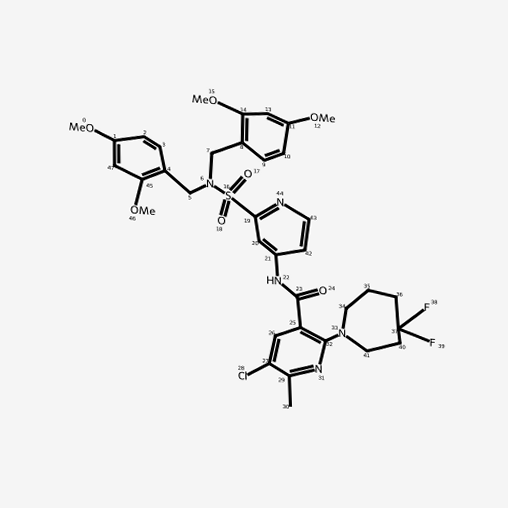 COc1ccc(CN(Cc2ccc(OC)cc2OC)S(=O)(=O)c2cc(NC(=O)c3cc(Cl)c(C)nc3N3CCCC(F)(F)CC3)ccn2)c(OC)c1